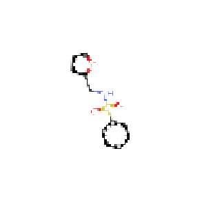 O=S(=O)(NCc1ccco1)c1ccccc1